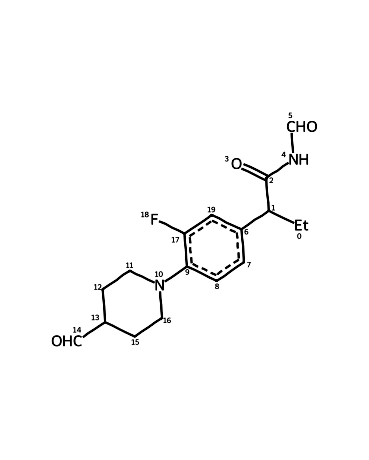 CCC(C(=O)NC=O)c1ccc(N2CCC(C=O)CC2)c(F)c1